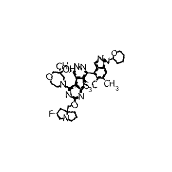 Cc1cc2c(cnn2C2CCCCO2)c(-c2nncc3c2sc2nc(OC[C@@]45CCCN4C[C@H](F)C5)nc(N4CCOC[C@@](C)(O)C4)c23)c1C(F)(F)F